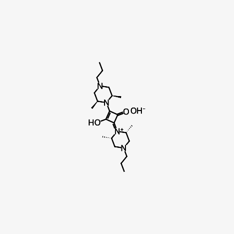 CCCN1C[C@@H](C)N(c2c(O)/c(=[N+]3/[C@H](C)CN(CCC)C[C@@H]3C)c2=O)[C@@H](C)C1.[OH-]